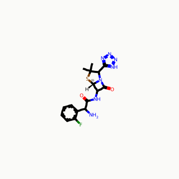 CC1(C)S[C@H]2C(NC(=O)C(N)c3ccccc3F)C(=O)N2C1c1nnn[nH]1